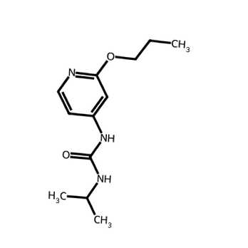 CCCOc1cc(NC(=O)NC(C)C)ccn1